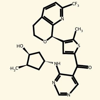 [CH2][C@@H]1C[C@@H](Nc2ncncc2C(=O)c2cc([C@H]3OCCc4ccc(C(F)(F)F)nc43)c(C)s2)C[C@@H]1O